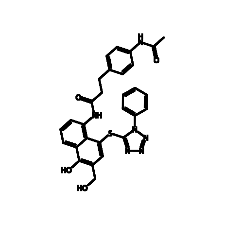 CC(=O)Nc1ccc(CCC(=O)Nc2cccc3c(O)c(CO)cc(Sc4nnnn4-c4ccccc4)c23)cc1